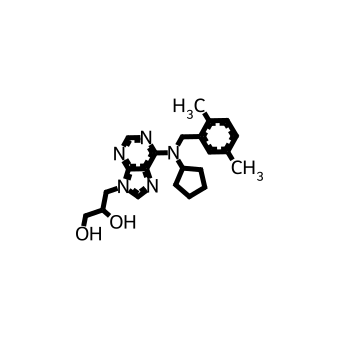 Cc1ccc(C)c(CN(c2ncnc3c2ncn3CC(O)CO)C2CCCC2)c1